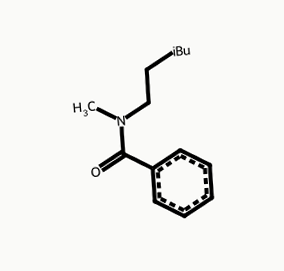 CCC(C)CCN(C)C(=O)c1ccccc1